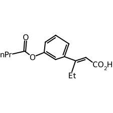 CCCC(=O)Oc1cccc(C(=CC(=O)O)CC)c1